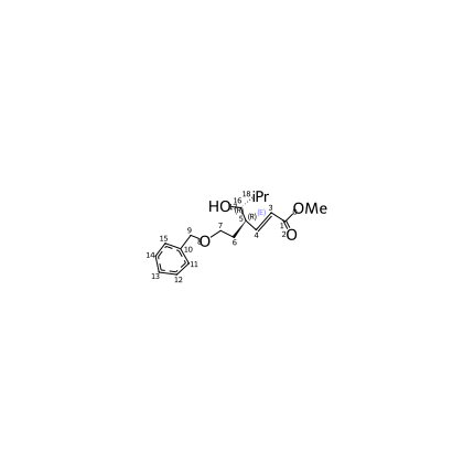 COC(=O)/C=C/[C@@H](CCOCc1ccccc1)[C@H](O)C(C)C